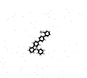 Brc1ccccc1-c1ccc(-c2ccc3c4ccccc4n(-c4ccccc4)c3c2)cc1